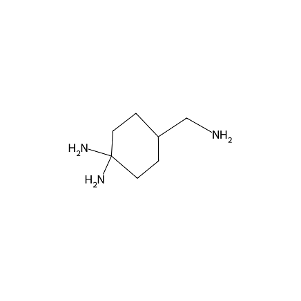 NCC1CCC(N)(N)CC1